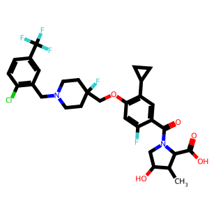 CC1C(O)CN(C(=O)c2cc(C3CC3)c(OCC3(F)CCN(Cc4cc(C(F)(F)F)ccc4Cl)CC3)cc2F)C1C(=O)O